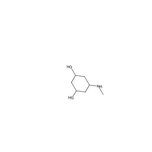 CNC1CC(O)CC(O)C1